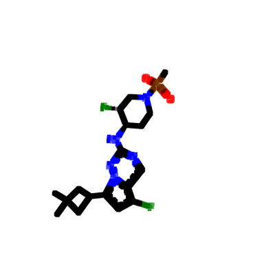 CC1(C)CC(c2cc(F)c3cnc(N[C@@H]4CCN(S(C)(=O)=O)C[C@H]4F)nn23)C1